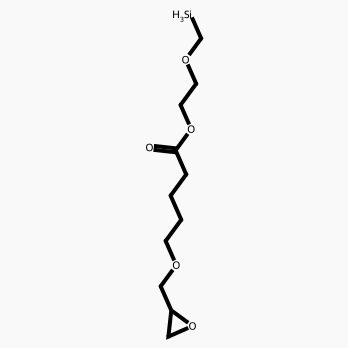 O=C(CCCCOCC1CO1)OCCOC[SiH3]